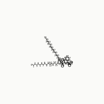 CCCCCCCCCCCCCCCCCCN(CCCCCCCCCCCCCCCCCC)C(=O)c1cc([N+](=O)[O-])c2ccccc2c1O